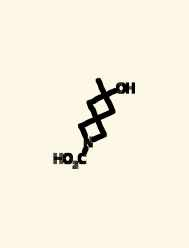 CC1(O)CC2(CN(C(=O)O)C2)C1